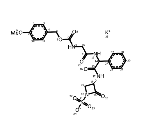 COc1ccc(COC(=O)NCC(=O)NC(C(=O)N[C@H]2CN(S(=O)(=O)[O-])C2=O)c2ccccc2)cc1.[K+]